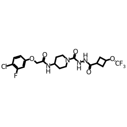 O=C(COc1ccc(Cl)c(F)c1)NC1CCN(C(=O)NNC(=O)C2CC(OC(F)(F)F)C2)CC1